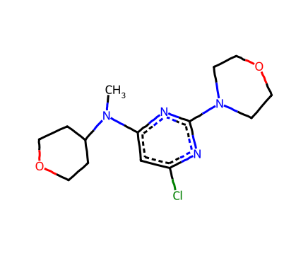 CN(c1cc(Cl)nc(N2CCOCC2)n1)C1CCOCC1